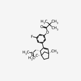 CN(C)C[C@@H]1C(c2cc(F)cc(OC(=O)C(C)(C)C)c2)=C[C@@]2(C)CC[C@]1(C)C2